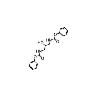 O=C(NCC(O)CNC(=O)Oc1ccccc1)Oc1ccccc1